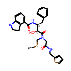 CC(C)SCN(CC(=O)NCc1cccs1)C(=O)[C@@H](O)[C@H](Cc1ccccc1)NC(=O)c1cccc2c1CCN2